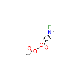 C=CC(=O)OCCOC(=O)c1ccc(N(C)CF)cc1